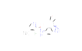 N#Cc1ccnc(C(=O)Nc2ccc3[nH]nc(-c4ccoc4)c3c2)c1F